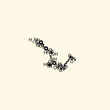 CSC1CC(=O)N(CCCCCC(=O)N[C@H](C(=O)N[C@@H](C)C(=O)Nc2ccc(C(=O)NCCC[C@H](NC(=O)c3ccc(CCc4ccc5nc(N)nc(N)c5c4Cl)cc3)C(=O)O)c(-c3nn[nH]n3)c2)C(C)C)C1=O